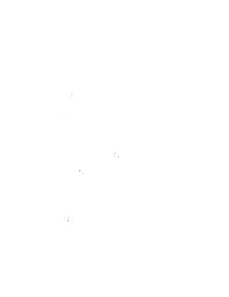 NC(=O)c1cn2cc(-c3ccoc3)cc(C(F)(F)F)c2n1